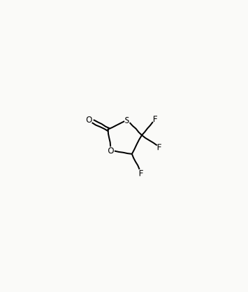 O=C1OC(F)C(F)(F)S1